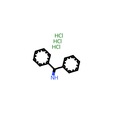 Cl.Cl.Cl.N=C(c1ccccc1)c1ccccc1